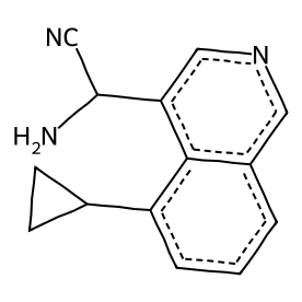 N#CC(N)c1cncc2cccc(C3CC3)c12